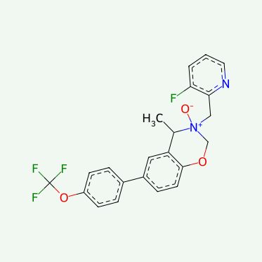 CC1c2cc(-c3ccc(OC(F)(F)F)cc3)ccc2OC[N+]1([O-])Cc1ncccc1F